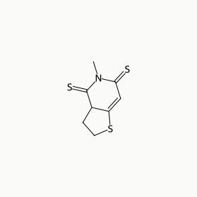 CN1C(=S)C=C2SCCC2C1=S